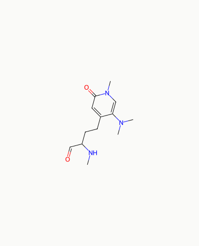 CNC(C=O)CCc1cc(=O)n(C)cc1N(C)C